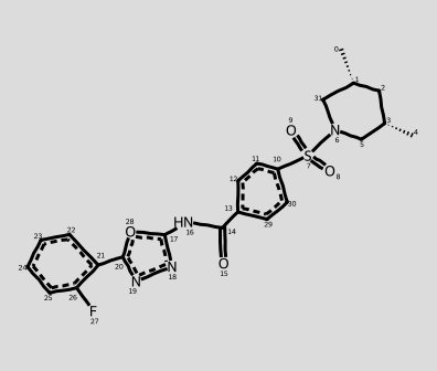 C[C@@H]1C[C@H](C)CN(S(=O)(=O)c2ccc(C(=O)Nc3nnc(-c4ccccc4F)o3)cc2)C1